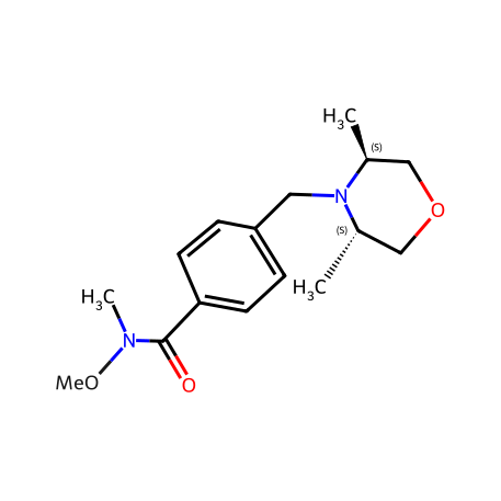 CON(C)C(=O)c1ccc(CN2[C@@H](C)COC[C@@H]2C)cc1